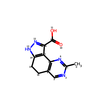 Cc1ncc2c(n1)-c1c(C(=O)O)n[nH]c1CC2